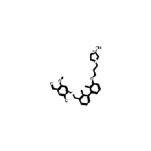 COc1cc(OCc2cccc(-c3cccc(OCCCN4CC[C@@H](O)C4)c3C)c2C)c(Cl)cc1C=O